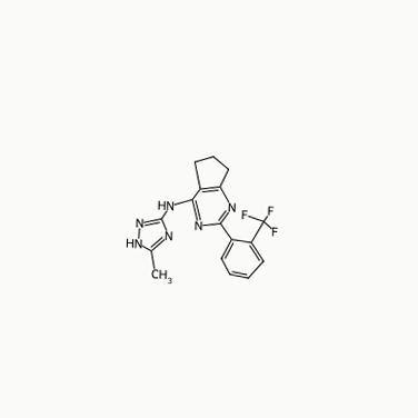 Cc1nc(Nc2nc(-c3ccccc3C(F)(F)F)nc3c2CCC3)n[nH]1